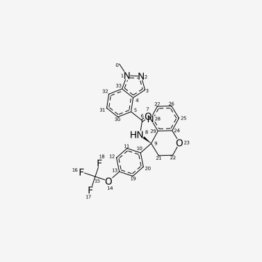 Cn1ncc2c(C(=O)N[C@]3(c4ccc(OC(F)(F)F)cc4)CCOc4cccnc43)cccc21